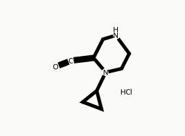 Cl.O=C=C1CNCCN1C1CC1